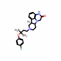 BC(B)(CCN1CCC2[C@@H](C1)c1cccc3c1N2CC(=O)N3)Oc1ccc(F)cc1